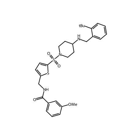 COc1cccc(C(=O)NCc2ccc(S(=O)(=O)N3CCC(NCc4ccccc4C(C)(C)C)CC3)s2)c1